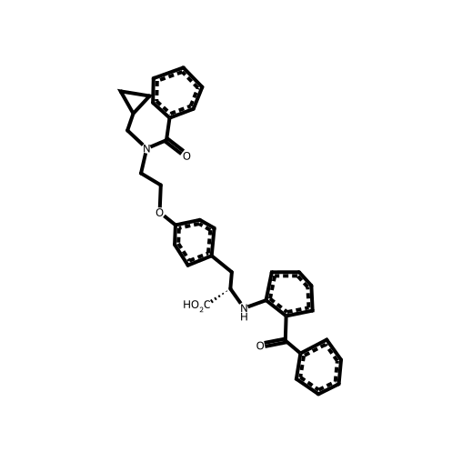 O=C(c1ccccc1)c1ccccc1N[C@@H](Cc1ccc(OCCN(CC2CC2)C(=O)c2ccccc2)cc1)C(=O)O